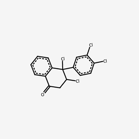 O=C1CC(Cl)C(Cl)(c2ccc(Cl)c(Cl)c2)c2ccccc21